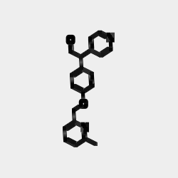 Cc1cccc(COc2ccc(C(C=O)c3ccncc3)cc2)n1